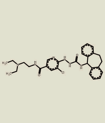 CCN(CC)CCNC(=O)c1cnc(NNC(=O)NC2c3ccccc3CCc3ccccc32)c(Cl)c1